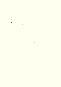 CC(C)C(=O)CC(=O)N1CCN[C@H](C)C(C)(C)NCC1